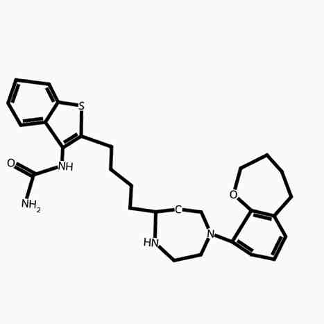 NC(=O)Nc1c(CCCCC2CCN(c3cccc4c3OCCCC4)CCN2)sc2ccccc12